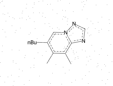 CCCCc1cn2ncnc2c(C)c1C